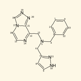 c1ccc(CN(Cc2cc[nH]n2)Cc2nccn3cnnc23)cc1